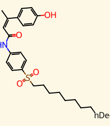 CCCCCCCCCCCCCCCCCCS(=O)(=O)c1ccc(NC(=O)C=C(C)c2ccc(O)cc2)cc1